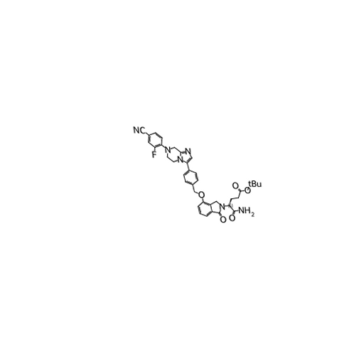 CC(C)(C)OC(=O)CC[C@@H](C(N)=O)N1Cc2c(OCc3ccc(-c4cnc5n4CCN(c4ccc(C#N)cc4F)C5)cc3)cccc2C1=O